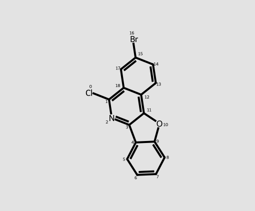 Clc1nc2c3ccccc3oc2c2ccc(Br)cc12